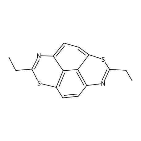 CCC1=Nc2ccc3c4c(ccc(c24)S1)N=C(CC)S3